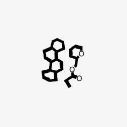 C=CC(=O)OCC1C=CC=CO1.c1ccc2c(c1)ccc1c3c(ccc12)CCCC3